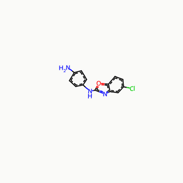 Nc1ccc(Nc2nc3cc(Cl)ccc3o2)cc1